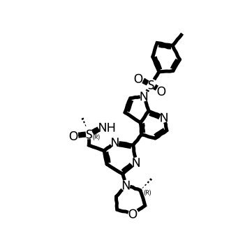 Cc1ccc(S(=O)(=O)n2ccc3c(-c4nc(C[S@](C)(=N)=O)cc(N5CCOC[C@H]5C)n4)ccnc32)cc1